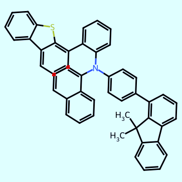 CC1(C)c2ccccc2-c2cccc(-c3ccc(N(c4ccccc4-c4cccc5c4sc4ccccc45)c4cccc5ccccc45)cc3)c21